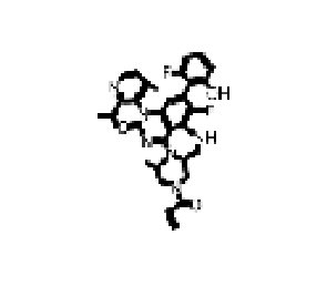 C=CC(=O)N1CC(C)N2c3nc(=O)n(-c4c(C)ccnc4C(C)C)c4cc(-c5c(O)cccc5F)c(F)c(c34)NCC2C1